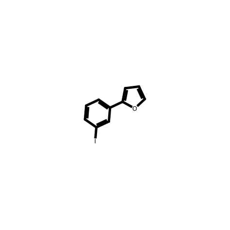 Ic1cccc(-c2ccco2)c1